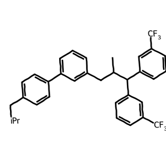 CC(C)Cc1ccc(-c2cccc(CC(C)C(c3cccc(C(F)(F)F)c3)c3cccc(C(F)(F)F)c3)c2)cc1